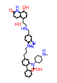 CN[C@H]1CC[C@H](N(C(=O)O)c2cc(CCCn3nnc4cc(CNC[C@H](O)c5ccc(O)c6[nH]c(=O)ccc56)ccc43)ccc2-c2ccccc2)CC1